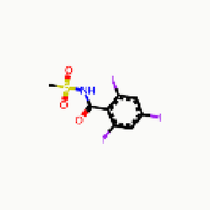 CS(=O)(=O)NC(=O)c1c(I)cc(I)cc1I